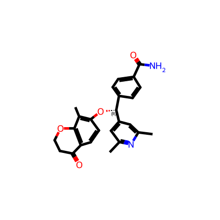 Cc1cc([C@H](Oc2ccc3c(c2C)OCCC3=O)c2ccc(C(N)=O)cc2)cc(C)n1